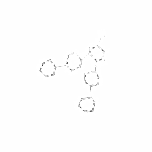 Clc1cnc(-c2ccc(-c3ccccc3)cc2)c(-c2ccc(-c3ccccc3)cc2)n1